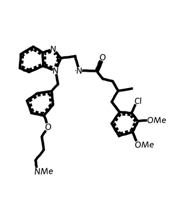 CNCCCOc1cccc(Cn2c(C[N]C(=O)CCC(C)Cc3ccc(OC)c(OC)c3Cl)nc3ccccc32)c1